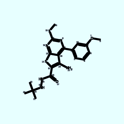 COc1cccc(-c2nc(SC)nc3sc(C(=O)NNC(C)(C)C)c(N)c23)c1